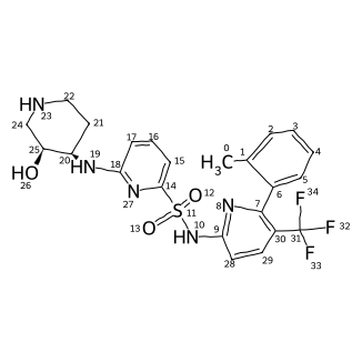 Cc1ccccc1-c1nc(NS(=O)(=O)c2cccc(N[C@@H]3CCNC[C@@H]3O)n2)ccc1C(F)(F)F